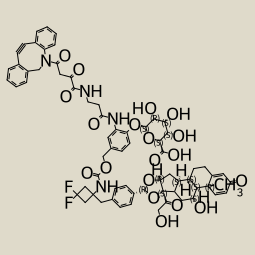 C[C@]12C=CC(=O)C=C1CC[C@@H]1[C@@H]2[C@@H](O)CC2[C@H]1C[C@H]1O[C@@H](c3ccc(CC4(NC(=O)OCc5ccc(O[C@@H]6O[C@H](C(=O)O)[C@@H](O)[C@H](O)[C@H]6O)c(NC(=O)CCNC(=O)C(=O)CC(=O)N6Cc7ccccc7C#Cc7ccccc76)c5)CC(F)(F)C4)cc3)O[C@@]21C(=O)CO